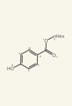 CCCCCCOC(=O)c1ccc(O)cc1